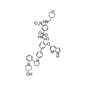 O=C(NS(=O)(=O)c1ccc(NCC2CCOCC2)c([N+](=O)[O-])c1)c1ccc(-c2ccc(N3CCCC3c3ccccc3N3CCC(O)CC3)cc2)cc1Oc1cnc2[nH]ccc2c1